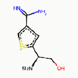 CN[C@H](CO)c1cc(C(=N)N)cs1